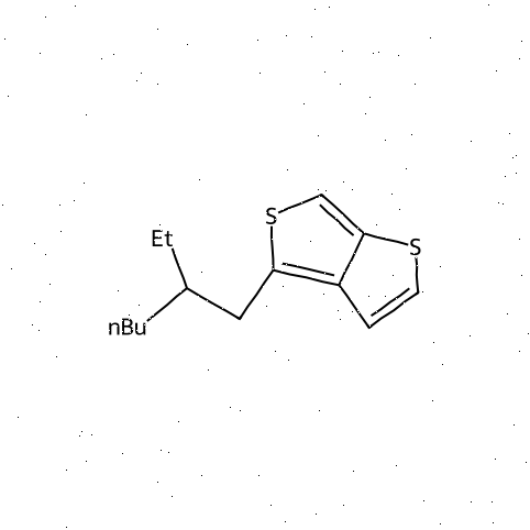 CCCCC(CC)Cc1scc2sccc12